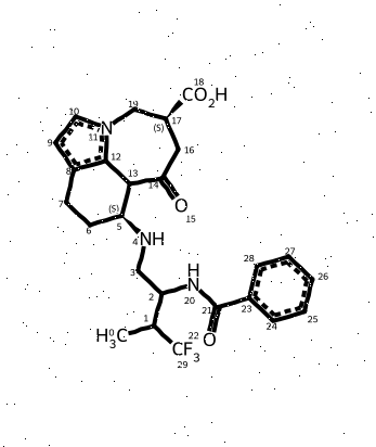 CC(C(CN[C@H]1CCc2ccn3c2C1C(=O)C[C@H](C(=O)O)C3)NC(=O)c1ccccc1)C(F)(F)F